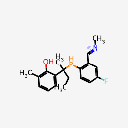 CCC(C)(Pc1ccc(F)cc1/C=N/C)c1cccc(C)c1O